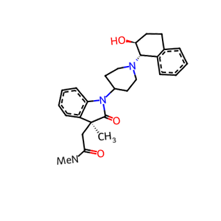 CNC(=O)C[C@]1(C)C(=O)N(C2CCN([C@H]3c4ccccc4CC[C@@H]3O)CC2)c2ccccc21